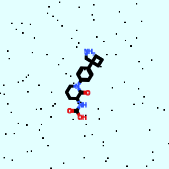 NCC1(c2ccc(N3CCCC(NC(=O)O)C3=O)cc2)CCC1